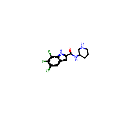 O=C(NC1CCCNC1)c1cc2cc(Cl)c(F)c(F)c2[nH]1